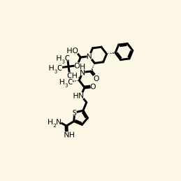 C[C@H](NC(=O)[C@H]1C[C@@H](c2ccccc2)CCN1C(O)OC(C)(C)C)C(=O)NCc1ccc(C(=N)N)s1